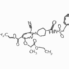 CCOC(=O)c1cc(C#N)c(N2CCC(C(=O)NS(=O)(=O)Cc3ccccc3)CC2)nc1O[C@@H](C)C(=O)OCC